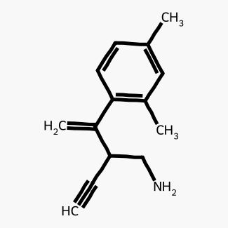 C#CC(CN)C(=C)c1ccc(C)cc1C